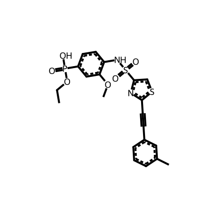 CCOP(=O)(O)c1ccc(NS(=O)(=O)c2csc(C#Cc3cccc(C)c3)n2)c(OC)c1